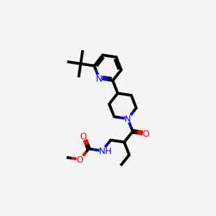 CCC(CNC(=O)OC)C(=O)N1CCC(c2cccc(C(C)(C)C)n2)CC1